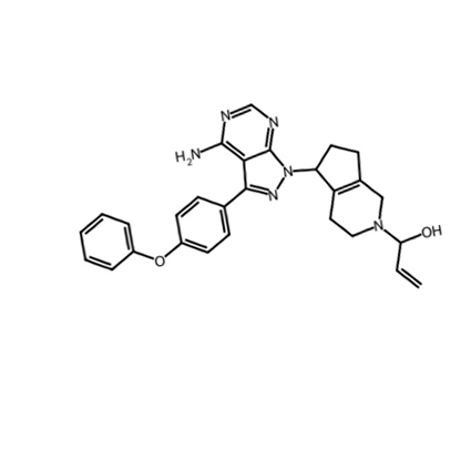 C=CC(O)N1CCC2=C(CCC2n2nc(-c3ccc(Oc4ccccc4)cc3)c3c(N)ncnc32)C1